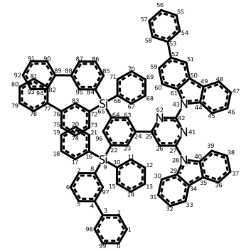 c1ccc(-c2cccc([Si](c3ccccc3)(c3ccccc3)c3cc(-c4cc(-n5c6ccccc6c6ccccc65)nc(-n5c6ccccc6c6cc(-c7ccccc7)ccc65)n4)cc([Si](c4ccccc4)(c4cccc(-c5ccccc5)c4)c4cccc(-c5ccccc5)c4)c3)c2)cc1